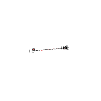 O=C(O)CCCCCCCCCCCCCCCCCCCCCCCCCCCCCCCCCCCCCCC[SiH](Cl)Cl